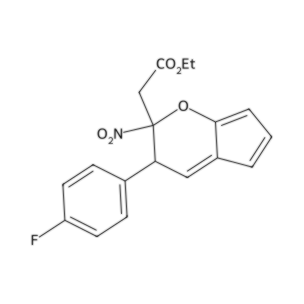 CCOC(=O)CC1([N+](=O)[O-])OC2=CC=CC2=CC1c1ccc(F)cc1